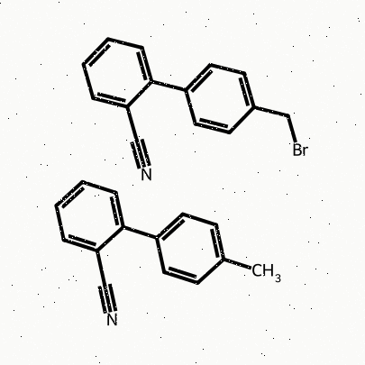 Cc1ccc(-c2ccccc2C#N)cc1.N#Cc1ccccc1-c1ccc(CBr)cc1